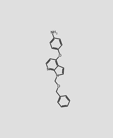 Nc1ccc(Oc2ccnc3c2ccn3COCc2ccccc2)cc1